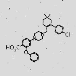 CC1(C)CCC(CN2CCN(c3ccc(C(=O)O)c(Oc4ccccc4)c3)CC2)=C(c2ccc(Cl)cc2)C1